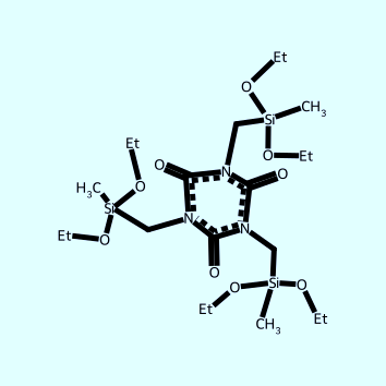 CCO[Si](C)(Cn1c(=O)n(C[Si](C)(OCC)OCC)c(=O)n(C[Si](C)(OCC)OCC)c1=O)OCC